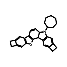 C1=CC2C(c3cc4c(cc3N2C2CCCCCC2)CC4)c2sc3cc4c(cc3c21)CC4